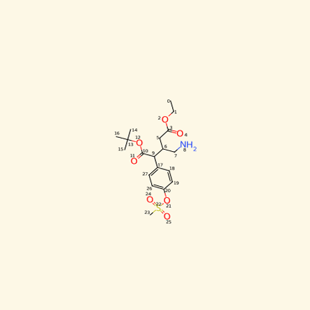 CCOC(=O)CC(CN)C(C(=O)OC(C)(C)C)c1ccc(OS(C)(=O)=O)cc1